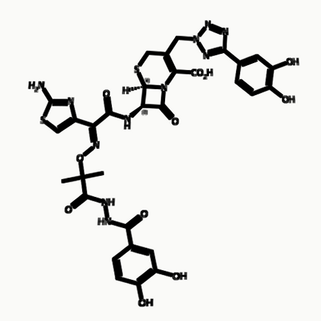 CC(C)(ON=C(C(=O)N[C@@H]1C(=O)N2C(C(=O)O)=C(Cn3nnc(-c4ccc(O)c(O)c4)n3)CS[C@H]12)c1csc(N)n1)C(=O)NNC(=O)c1ccc(O)c(O)c1